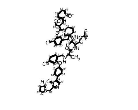 CC(NCc1ccc(Cl)cc1Oc1ccc(-c2cnc(CN3CCCC3)n2C)cc1)C(=O)NC(COC(F)F)C(=O)NC1(Cc2ccc(Cl)cc2)CCCN(C(=O)C(CC(=O)O)Cc2cccc[n+]2[O-])C1